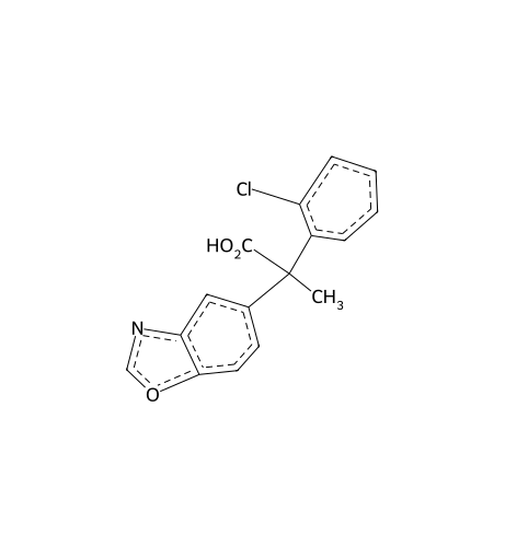 CC(C(=O)O)(c1ccc2ocnc2c1)c1ccccc1Cl